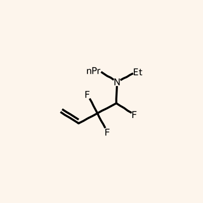 C=CC(F)(F)C(F)N(CC)CCC